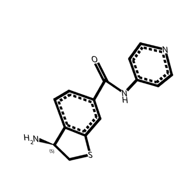 N[C@@H]1CSc2cc(C(=O)Nc3ccncc3)ccc21